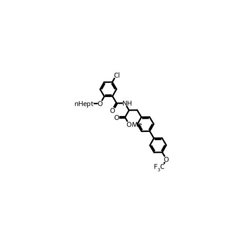 CCCCCCCOc1ccc(Cl)cc1C(=O)NC(Cc1ccc(-c2ccc(OC(F)(F)F)cc2)cc1)C(=O)OC